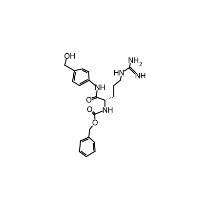 N=C(N)NCCC[C@H](NC(=O)OCc1ccccc1)C(=O)Nc1ccc(CO)cc1